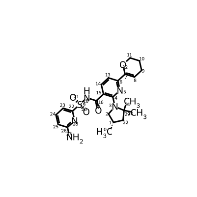 C[C@@H]1CN(c2nc(C3=CCCCO3)ccc2C(=O)NS(=O)(=O)c2cccc(N)n2)C(C)(C)C1